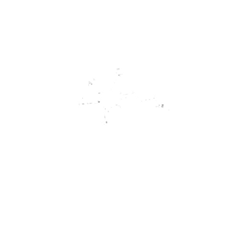 NCC=Cc1cc(Br)c(O)c(Br)c1O